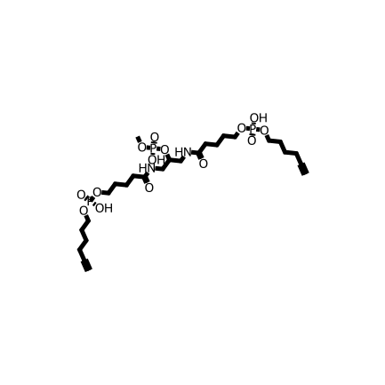 C#CCCCCOP(=O)(O)OCCCCC(=O)NCC(CNC(=O)CCCCOP(=O)(O)OCCCCC#C)OP(=O)(O)OC